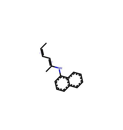 C/C=C\C=C(/C)Nc1cccc2ccccc12